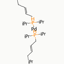 CC(C)CC=CC[PH]([Pd][PH](CC=CCC(C)C)(C(C)C)C(C)C)(C(C)C)C(C)C